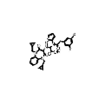 O=C(O)C(NC1C(=O)N(CC2CC2)c2ccccc2N(CC2CC2)C1=O)N(C(=O)Cc1cc(F)cc(F)c1)c1cccs1